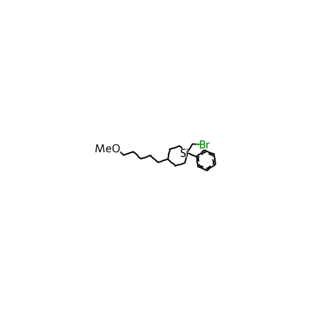 COCCCCCC1CC[Si](CBr)(c2ccccc2)CC1